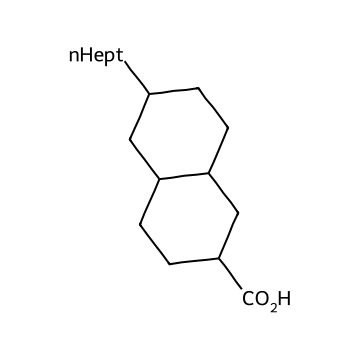 CCCCCCCC1CCC2CC(C(=O)O)CCC2C1